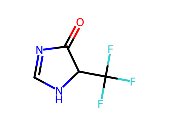 O=C1N=CNC1C(F)(F)F